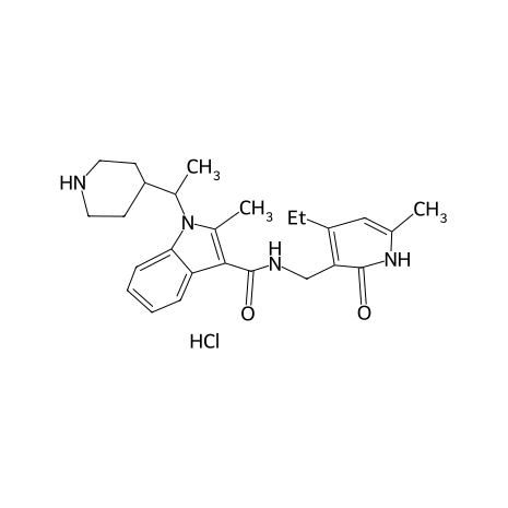 CCc1cc(C)[nH]c(=O)c1CNC(=O)c1c(C)n(C(C)C2CCNCC2)c2ccccc12.Cl